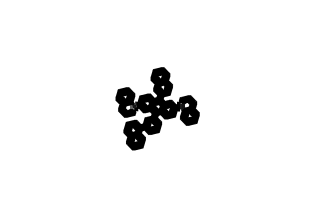 c1cc(-c2cccc3ccccc23)cc(-c2c3ccc(N4CCCc5ccccc54)cc3c(-c3ccc4ccccc4c3)c3ccc(N4CCCc5ccccc54)cc23)c1